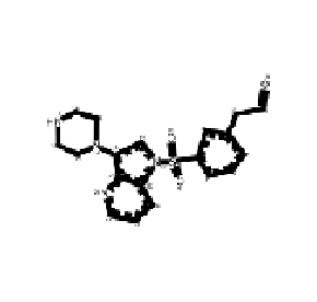 O=CCc1cccc(S(=O)(=O)n2cc(N3CCNCC3)c3ncccc32)c1